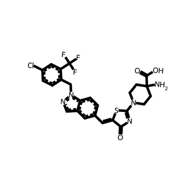 NC1(C(=O)O)CCN(C2=NC(=O)/C(=C/c3ccc4c(cnn4Cc4ccc(Cl)cc4C(F)(F)F)c3)S2)CC1